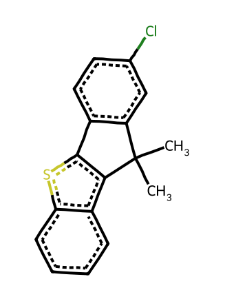 CC1(C)c2cc(Cl)ccc2-c2sc3ccccc3c21